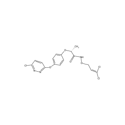 C[C@@H](Oc1ccc(Oc2ccc(Cl)nn2)cc1)C(=O)NOCC=C(Cl)Cl